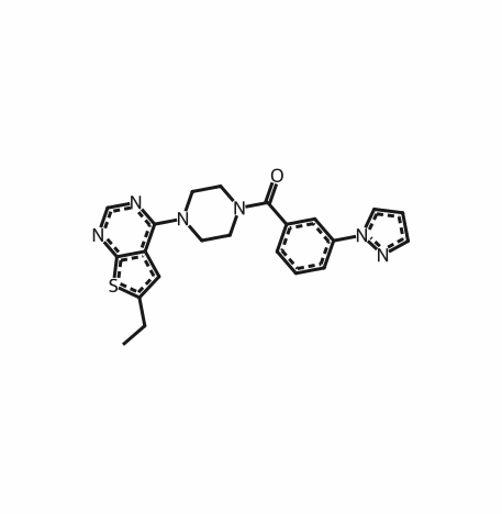 CCc1cc2c(N3CCN(C(=O)c4cccc(-n5cccn5)c4)CC3)ncnc2s1